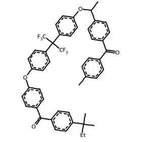 CCC(C)(C)c1ccc(C(=O)c2ccc(Oc3ccc(C(c4ccc(OC(C)c5ccc(C(=O)c6ccc(C)cc6)cc5)cc4)(C(F)(F)F)C(F)(F)F)cc3)cc2)cc1